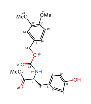 COC(=O)[C@H](Cc1ccc(O)cc1)NC(=O)OCc1ccc(OC)c(OC)c1